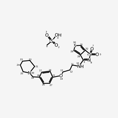 CS(=O)(=O)O.O=S1(=O)N=C(NCCCOc2ccc(CN3CCCCC3)cc2)c2cscc21